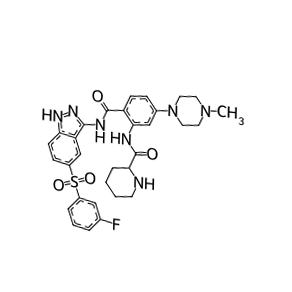 CN1CCN(c2ccc(C(=O)Nc3n[nH]c4ccc(S(=O)(=O)c5cccc(F)c5)cc34)c(NC(=O)C3CCCCN3)c2)CC1